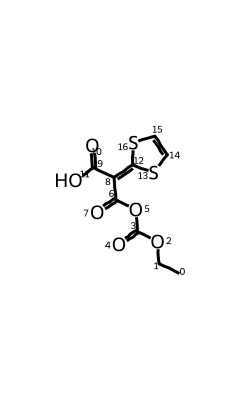 CCOC(=O)OC(=O)C(C(=O)O)=C1SC=CS1